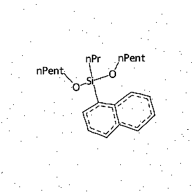 CCCCCO[Si](CCC)(OCCCCC)c1cccc2ccccc12